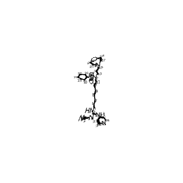 N#C/N=C(\NCCCCCCCN(CCCN1CCOCC1)S(=O)(=O)C1CCCCC1)Nc1ccncc1